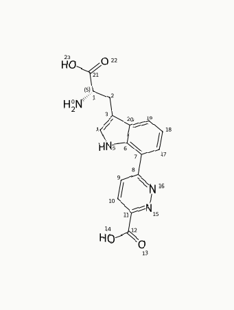 N[C@@H](Cc1c[nH]c2c(-c3ccc(C(=O)O)nn3)cccc12)C(=O)O